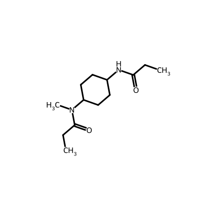 CCC(=O)NC1CCC(N(C)C(=O)CC)CC1